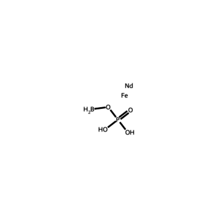 BOP(=O)(O)O.[Fe].[Nd]